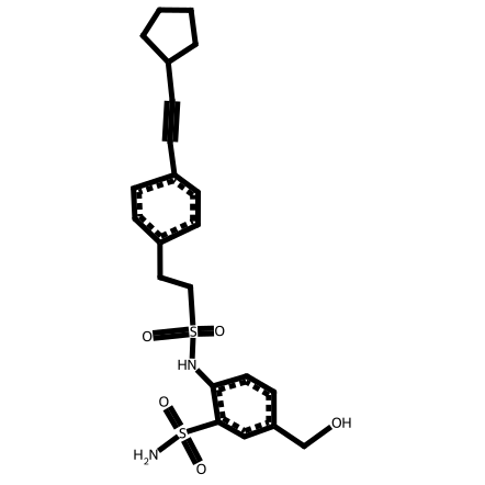 NS(=O)(=O)c1cc(CO)ccc1NS(=O)(=O)CCc1ccc(C#CC2CCCC2)cc1